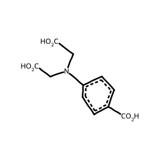 O=C(O)CN(CC(=O)O)c1ccc(C(=O)O)cc1